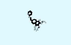 COC1=C(OC)C(=O)C2=C(CCC(CCOc3ccccn3)CC2)C1=O